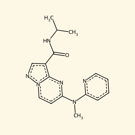 CC(C)NC(=O)c1cnn2ccc(N(C)c3ccccn3)nc12